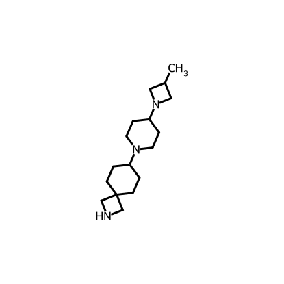 CC1CN(C2CCN(C3CCC4(CC3)CNC4)CC2)C1